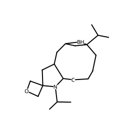 CC(C)N1C2CCCCC3(C(C)C)BC(CC2CC12COC2)C3